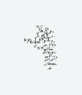 CO[Si](CCCN(C)S(=O)(=O)N(F)C(F)(F)C(F)(F)C(F)(F)C(F)(F)C(F)(F)C(F)(F)C(F)(F)C(F)(F)F)(OC)OC